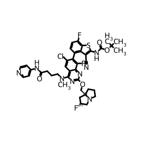 CN(CCCC(=O)Nc1ccncc1)c1nc(OC[C@@]23CCCN2C[C@H](F)C3)nc2c(F)c(-c3ccc(F)c4sc(NC(=O)OC(C)(C)C)c(C#N)c34)c(Cl)cc12